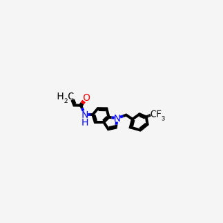 C=CC(=O)Nc1ccc2c(ccn2Cc2cccc(C(F)(F)F)c2)c1